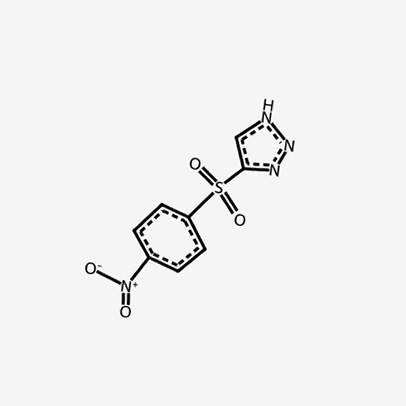 O=[N+]([O-])c1ccc(S(=O)(=O)c2c[nH]nn2)cc1